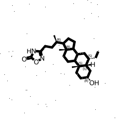 CC[C@H]1CC2C3CCC([C@H](C)CCc4noc(=O)[nH]4)[C@@]3(C)CCC2[C@@]2(C)CC[C@@H](O)C[C@@H]12